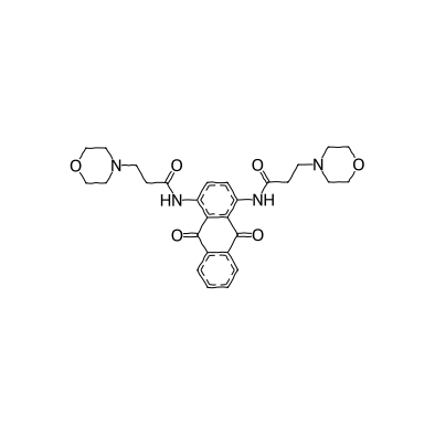 O=C(CCN1CCOCC1)Nc1ccc(NC(=O)CCN2CCOCC2)c2c1C(=O)c1ccccc1C2=O